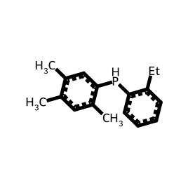 CCc1ccccc1Pc1cc(C)c(C)cc1C